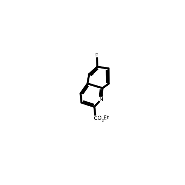 CCOC(=O)c1ccc2cc(F)ccc2n1